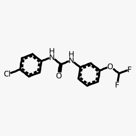 O=C(Nc1ccc(Cl)cc1)Nc1cccc(OC(F)F)c1